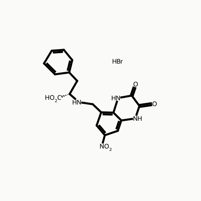 Br.O=C(O)[C@H](Cc1ccccc1)NCc1cc([N+](=O)[O-])cc2[nH]c(=O)c(=O)[nH]c12